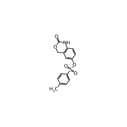 Cc1ccc(S(=O)(=O)Oc2ccc3c(c2)COC(=O)N3)cc1